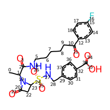 CC(C(=O)NCCCCCC(=O)c1ccc(F)cc1)N1C(=O)CC1S(=O)(=O)NCc1ccc(C(=O)O)cc1